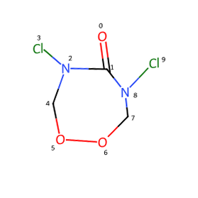 O=C1N(Cl)COOCN1Cl